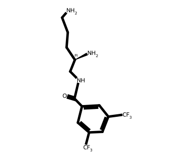 NCCC[C@@H](N)CNC(=O)c1cc(C(F)(F)F)cc(C(F)(F)F)c1